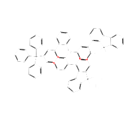 CC1(C)c2ccccc2-c2c(-c3ccccc3N(c3cccc(-c4cccc5c4C(C)(C)c4ccccc4-5)c3)c3ccccc3-c3ccc4c(c3)C(c3ccccc3)(c3ccccc3)c3ccccc3-4)cccc21